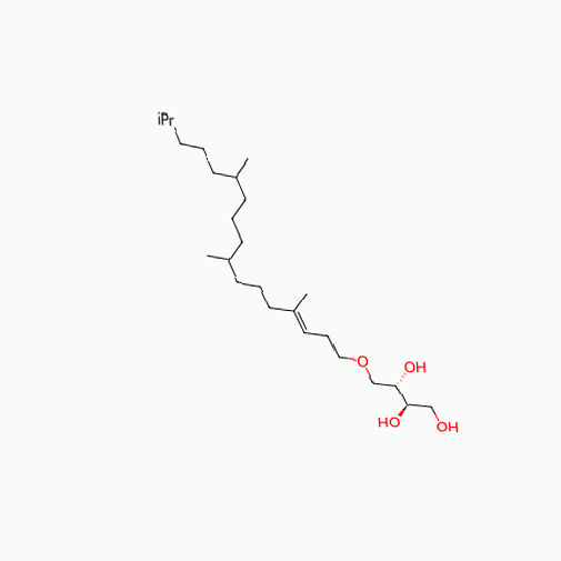 C/C(=C\CCOC[C@H](O)[C@H](O)CO)CCCC(C)CCCC(C)CCCC(C)C